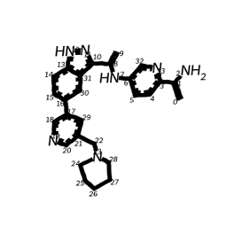 C=C(N)c1ccc(NC(=C)c2n[nH]c3ccc(-c4cncc(CN5CCCCC5)c4)cc23)cn1